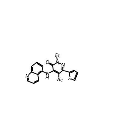 CCn1nc(-c2cccs2)c(C(C)=O)c(Nc2cccc3ncccc23)c1=O